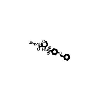 CC(C)(C)ONC(=O)[C@@]1(C)COCC[C@H]1NS(=O)(=O)c1ccc(OCc2ccccc2)cc1